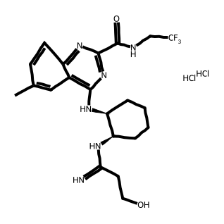 Cc1ccc2nc(C(=O)NCC(F)(F)F)nc(N[C@H]3CCCC[C@H]3NC(=N)CCO)c2c1.Cl.Cl